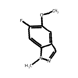 COc1cc2cnn(C)c2cc1F